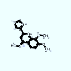 COc1ccc2/c(=N/O)cc(-c3cncs3)oc2c1OC